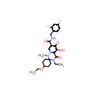 CCOC1CCC2(CC1)N(CC)C(=O)c1c(O)c(=O)c(C(=O)NCc3ccc(F)cc3F)cn1N2C